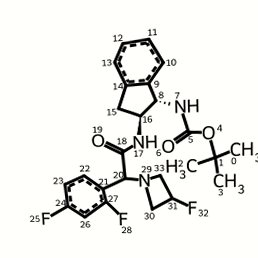 CC(C)(C)OC(=O)N[C@H]1c2ccccc2C[C@@H]1NC(=O)C(c1ccc(F)cc1F)N1CC(F)C1